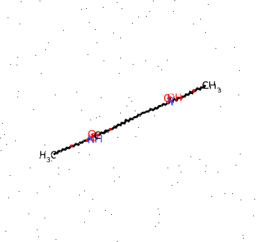 CCCCCCCCCCCCCCCCCCNC(=O)OCCCCCCCCCCCCCCCCCCCCCCCCCCCCCCCCCCCCN(CCCCCCCCCCCCCCCCCC)C(=O)O